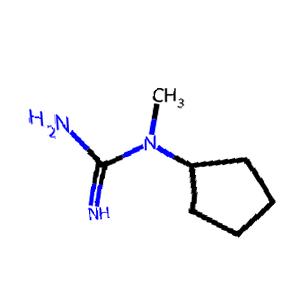 CN(C(=N)N)C1CCCC1